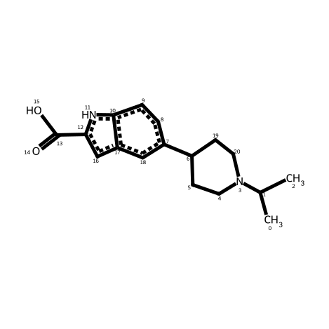 CC(C)N1CCC(c2ccc3[nH]c(C(=O)O)cc3c2)CC1